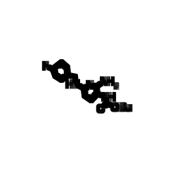 CC(C)COC(=O)Nc1ccc(NCc2ccc(F)cc2)nc1N